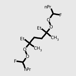 CCCC(F)OOC(C)(CC)CCC(C)(CC)OOC(F)CCC